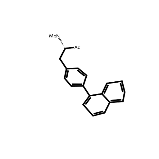 CN[C@@H](Cc1ccc(-c2cccc3ccccc23)cc1)C(C)=O